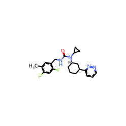 Cc1cc(CNC(=O)N(C2CC2)[C@@H]2CCCC(c3cccnn3)C2)c(F)cc1F